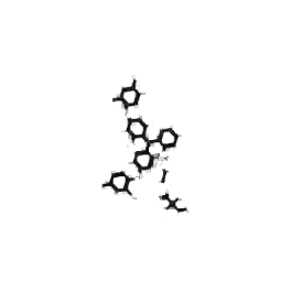 CCC(C)(C)C(=O)OCCNS(=O)(=O)c1ccccc1-c1c2cc/c(=N\c3ccc(C)cc3C)cc-2oc2cc(Nc3ccc(C)cc3C)ccc12